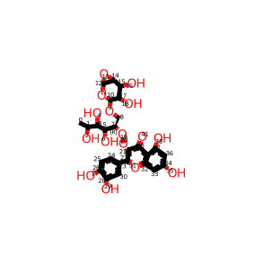 CC(O)C(O)C(O)[C@@H](COC1OC2OC2C(O)C1O)OOc1c(-c2ccc(O)c(O)c2)oc2cc(O)cc(O)c2c1=O